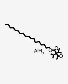 CCCCCCCCCCCCCCCCCCOC(=O)C(C(C)=O)(C(C)C)C(C)C.[AlH3]